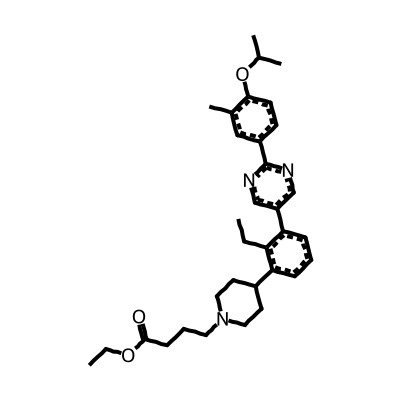 CCOC(=O)CCCN1CCC(c2cccc(-c3cnc(-c4ccc(OC(C)C)c(C)c4)nc3)c2CC)CC1